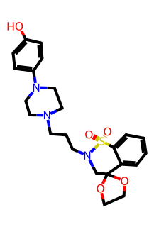 O=S1(=O)c2ccccc2C2(CN1CCCN1CCN(c3ccc(O)cc3)CC1)OCCO2